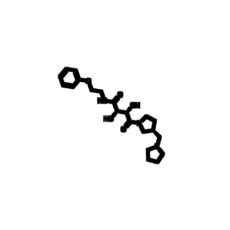 O=C(NCCOc1ccccc1)[C@H](O)[C@@H](O)C(=O)N1CC[C@@H](CN2CCCC2)C1